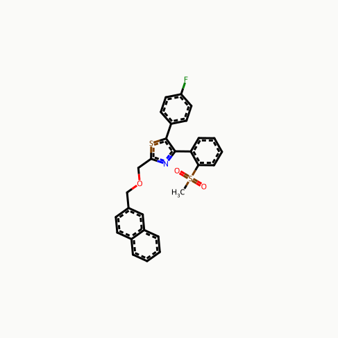 CS(=O)(=O)c1ccccc1-c1nc(COCc2ccc3ccccc3c2)sc1-c1ccc(F)cc1